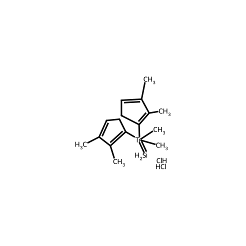 CC1=CC[C]([Ti]([CH3])([CH3])(=[SiH2])[C]2=C(C)C(C)=CC2)=C1C.Cl.Cl